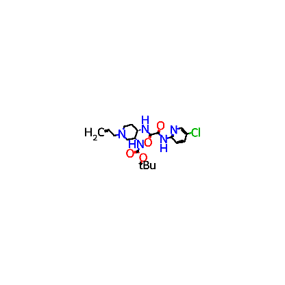 C=CCN1CC[C@H](NC(=O)C(=O)Nc2ccc(Cl)cn2)[C@H](NC(=O)OC(C)(C)C)C1